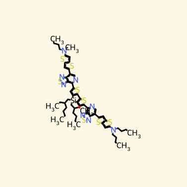 CCCCC(CC)C[Si]1(CC(CC)CCCC)c2cc(-c3ncc(-c4cc5sc(N(C)CCCC)cc5s4)c4nsnc34)sc2-c2sc(-c3ncc(-c4cc5sc(N(CCCC)CCCC)cc5s4)c4nsnc34)cc21